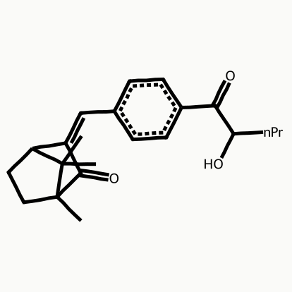 CCCC(O)C(=O)c1ccc(C=C2C(=O)C3(C)CCC2C3(C)C)cc1